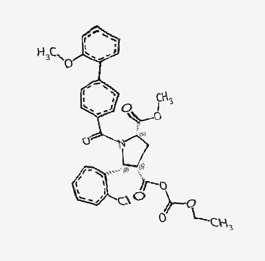 CCOC(=O)OC(=O)[C@H]1C[C@@H](C(=O)OC)N(C(=O)c2ccc(-c3ccccc3OC)cc2)[C@H]1c1ccccc1Cl